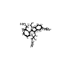 CCn1c(-c2cccnc2[C@H](C)O)c(CC(C)(C)N=[N+]=[N-])c2cc(Br)ccc21